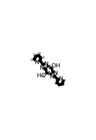 OC1c2nc(-c3ccccn3)nn2C(O)c2nc(-c3ccccn3)nn21